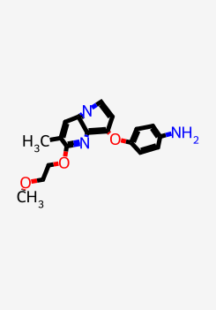 COCCOc1nc2c(Oc3ccc(N)cc3)ccnc2cc1C